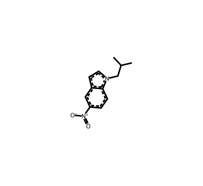 C[C](C)Cn1ccc2cc([N+](=O)[O-])ccc21